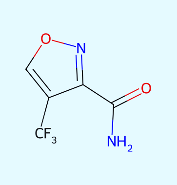 NC(=O)c1nocc1C(F)(F)F